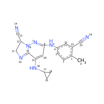 Cc1ccc(NC2=NN3C(=NCC3C#N)C(NC3CC3)=C2)cc1C#N